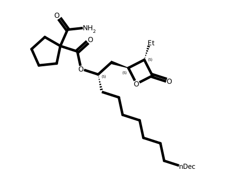 CCCCCCCCCCCCCCCCC[C@@H](C[C@@H]1OC(=O)[C@H]1CC)OC(=O)C1(C(N)=O)CCCC1